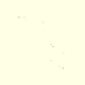 C/C=C/C1(O)CCN(C(=O)OC(C)(C)C)CC1